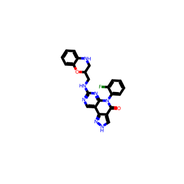 O=c1c2c[nH]nc2c2cnc(NCC3CNc4ccccc4O3)nc2n1-c1ccccc1F